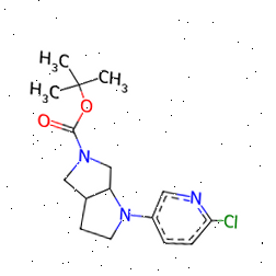 CC(C)(C)OC(=O)N1CC2CCN(c3ccc(Cl)nc3)C2C1